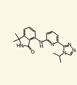 CC(C)n1cnnc1-c1cccc(Nc2cccc3c2C(=O)NC3(C)C)n1